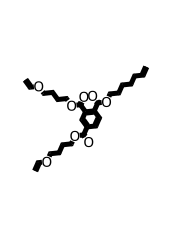 C=CCCCCCOC(=O)c1ccc(C(=O)OCCCCOC=C)cc1C(=O)OCCCCOC=C